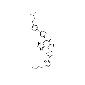 CC(C)CCc1ccc(-c2ccc(-c3c(F)c(F)c(-c4ccc(-c5ccc(CCC(C)C)s5)s4)c4nsnc34)s2)s1